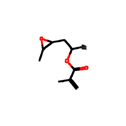 C=C(C)C(=O)OC(CC)CC1OC1C